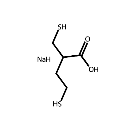 O=C(O)C(CS)CCS.[NaH]